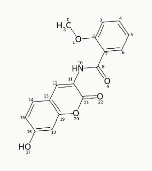 COc1ccccc1C(=O)Nc1cc2ccc(O)cc2oc1=O